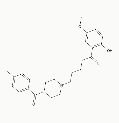 COc1ccc(O)c(C(=O)CCCCN2CCC(C(=O)c3ccc(C)cc3)CC2)c1